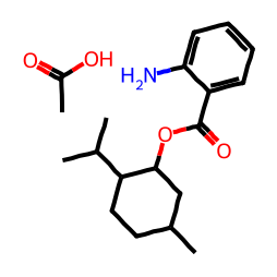 CC(=O)O.CC1CCC(C(C)C)C(OC(=O)c2ccccc2N)C1